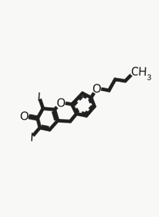 CCCCOc1ccc2c(c1)OC1=C(C=C(I)C(=O)C1I)C2